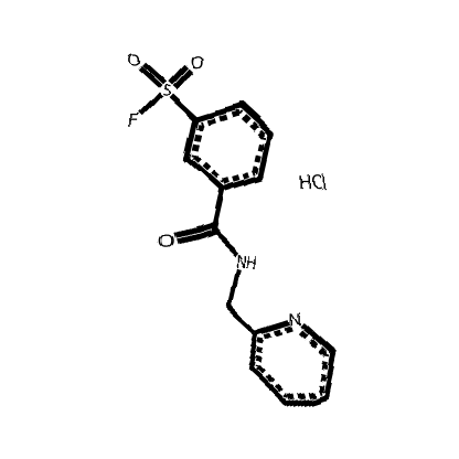 Cl.O=C(NCc1ccccn1)c1cccc(S(=O)(=O)F)c1